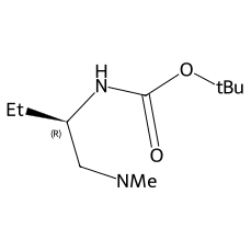 CC[C@H](CNC)NC(=O)OC(C)(C)C